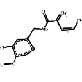 C=C(/C=C\C)C(=O)NCc1ccc(OC(F)(F)F)c(Cl)c1